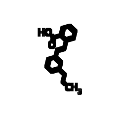 CCCc1cccc(C=Cc2ccccc2C(=O)O)c1